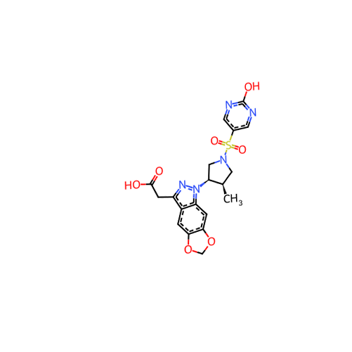 C[C@@H]1CN(S(=O)(=O)c2cnc(O)nc2)C[C@@H]1n1nc(CC(=O)O)c2cc3c(cc21)OCO3